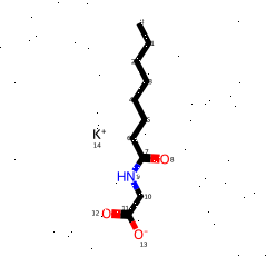 CCCCCCCC(=O)NCC(=O)[O-].[K+]